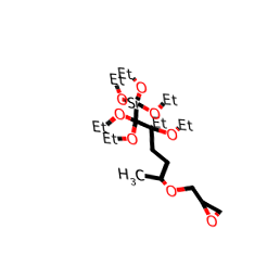 CCOC(CC)(CCC(C)OCC1CO1)C(OCC)(OCC)[Si](OCC)(OCC)OCC